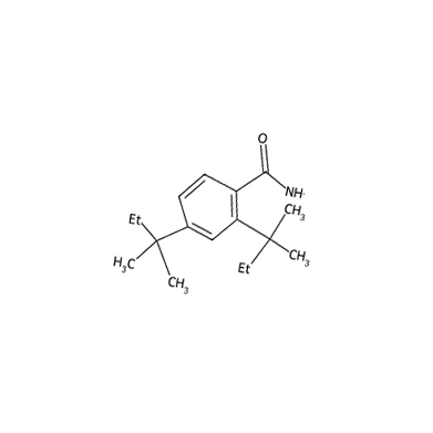 CCC(C)(C)c1ccc(C([NH])=O)c(C(C)(C)CC)c1